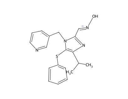 CC(C)c1nc(/C=N/O)n(Cc2cccnc2)c1Sc1ccccc1